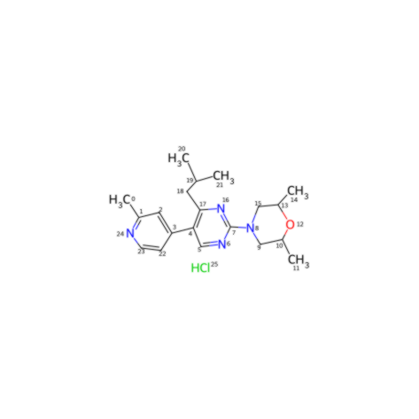 Cc1cc(-c2cnc(N3CC(C)OC(C)C3)nc2CC(C)C)ccn1.Cl